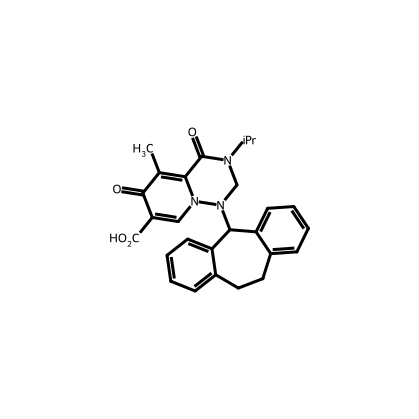 Cc1c2n(cc(C(=O)O)c1=O)N(C1c3ccccc3CCc3ccccc31)CN(C(C)C)C2=O